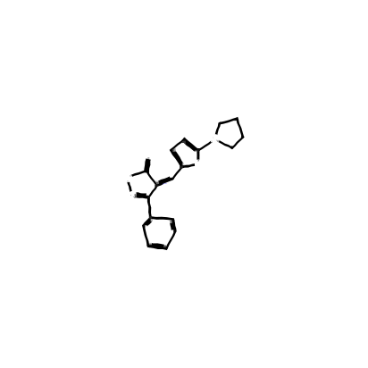 O=C1ON=C(c2ccccc2)/C1=C/c1ccc(N2CCCC2)s1